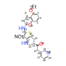 CCOc1ccccc1[C@@H](C)CC(=O)Nc1sc2c(c1C#N)NCC(C(=O)Cc1cccnc1)C2